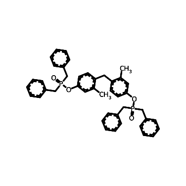 Cc1cc(OP(=O)(Cc2ccccc2)Cc2ccccc2)ccc1Cc1ccc(OP(=O)(Cc2ccccc2)Cc2ccccc2)cc1C